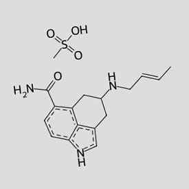 CC=CCNC1Cc2c[nH]c3ccc(C(N)=O)c(c23)C1.CS(=O)(=O)O